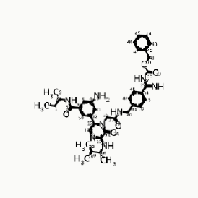 CC[C@H](C)NC(=O)c1cc(N)cc(-c2cnc(N[C@@H](C)C(C)C)c(=O)n2CC(=O)NCc2ccc(C(=N)NC(=O)OCc3ccccc3)cc2)c1